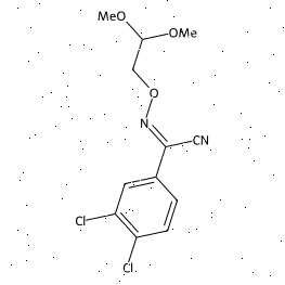 COC(CON=C(C#N)c1ccc(Cl)c(Cl)c1)OC